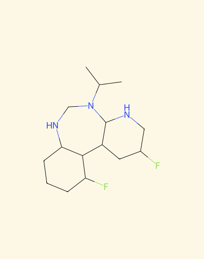 CC(C)N1CNC2CCCC(F)C2C2CC(F)CNC21